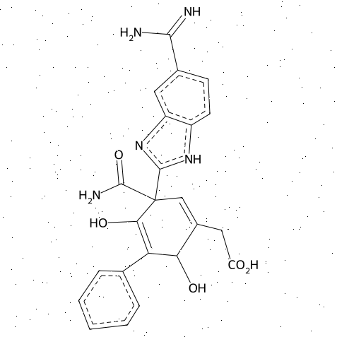 N=C(N)c1ccc2[nH]c(C3(C(N)=O)C=C(CC(=O)O)C(O)C(c4ccccc4)=C3O)nc2c1